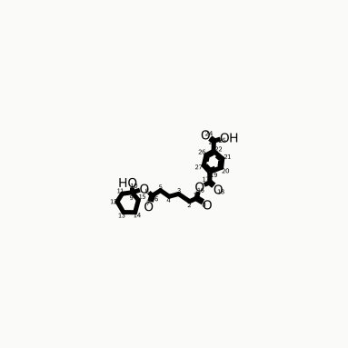 O=C(CCCCC(=O)OC1(O)CCCCC1)OC(=O)c1ccc(C(=O)O)cc1